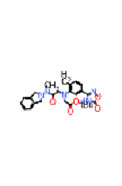 Cc1ccc(-c2noc(=O)[nH]2)cc1N(CC(=O)OC(C)(C)C)CC(=O)N(C)N1Cc2ccccc2C1